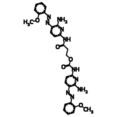 COc1ccccc1/N=N/c1ccc(NC(=O)CCOC(=O)Nc2ccc(/N=N/c3ccccc3OC)c(N)n2)nc1N